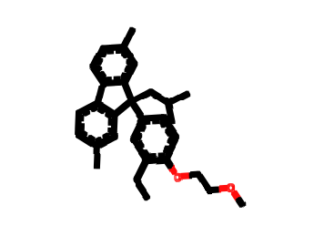 CCc1cc(C2(CC(C)C)c3cc(C)ccc3-c3ccc(C)cc32)ccc1OCCOC